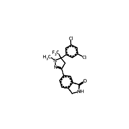 CN1N=C(c2ccc3c(c2)C(=O)NC3)CC1(c1cc(Cl)cc(Cl)c1)C(F)(F)F